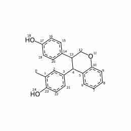 Cc1cc(C2c3ccccc3OCC2c2ccc(O)cc2)ccc1O